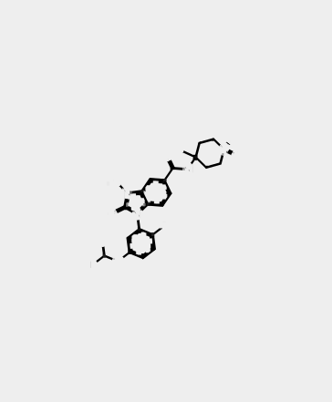 CC(C)n1c(=O)n(-c2cc(OC(F)F)ccc2F)c2ccc(C(=O)NC3(C)CCS(=O)(=O)CC3)cc21